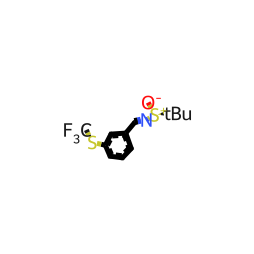 CC(C)(C)[S@+]([O-])N=Cc1cccc(SC(F)(F)F)c1